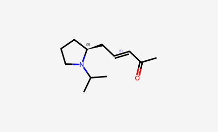 CC(=O)/C=C/C[C@@H]1CCCN1C(C)C